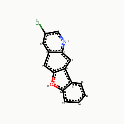 Clc1cnc2cc3c(cc2c1)oc1ccccc13